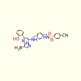 Bc1cnn2c(NCc3ccc(CNS(=O)(=O)c4ccc(C#N)cc4)cc3)cc(-c3ccccc3O)nc12